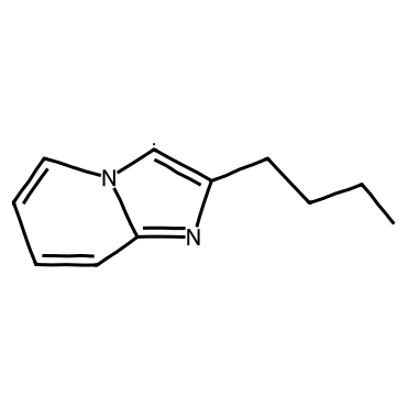 CCCCc1[c]n2ccccc2n1